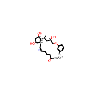 COC(=O)CCC/C=C\C[C@@H]1[C@@H](C(C)C[C@@H](O)COc2cccc(C(F)(F)F)c2)[C@H](O)C[C@@H]1O